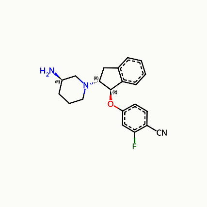 N#Cc1ccc(O[C@@H]2c3ccccc3C[C@H]2N2CCC[C@@H](N)C2)cc1F